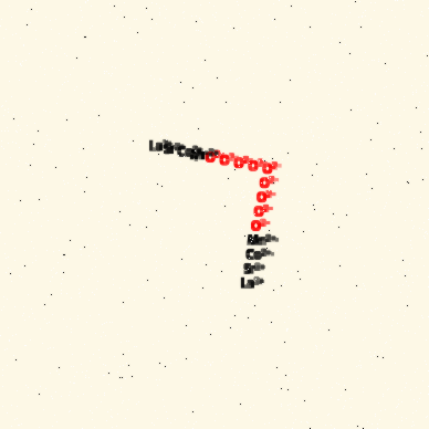 [Co+2].[Co+2].[La+3].[La+3].[Mn+2].[Mn+2].[O-2].[O-2].[O-2].[O-2].[O-2].[O-2].[O-2].[O-2].[O-2].[Sr+2].[Sr+2]